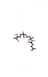 CC(C)CCC(=O)NC(C)(C)CCOC(C)(C)CCC(=O)C(C)C